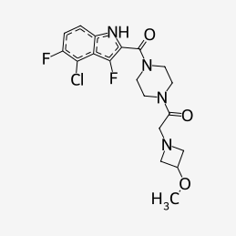 COC1CN(CC(=O)N2CCN(C(=O)c3[nH]c4ccc(F)c(Cl)c4c3F)CC2)C1